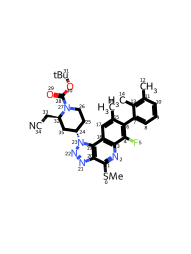 CSc1nc2c(F)c(-c3cccc(C)c3C)c(C)cc2c2c1nnn2[C@H]1CCN(C(=O)OC(C)(C)C)[C@H](CC#N)C1